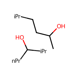 CC(C)CCC(C)O.CCCC(O)C(C)C